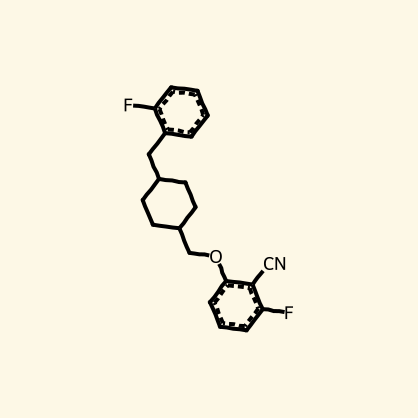 N#Cc1c(F)cccc1OCC1CCC(Cc2ccccc2F)CC1